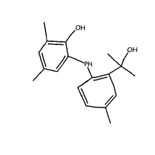 Cc1cc(C)c(O)c(Pc2ccc(C)cc2C(C)(C)O)c1